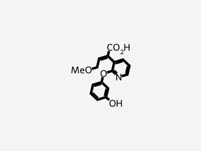 COC/C=C(/C(=O)O)c1cccnc1Oc1cccc(O)c1